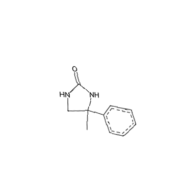 CC1(c2ccccc2)CNC(=O)N1